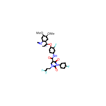 C=Nc1cc(OC)c(OC)cc1/C(=C\C)Oc1ccc(NC(=O)c2cn(CC=C(F)F)c(=O)n(-c3ccc(F)cc3)c2=O)cc1F